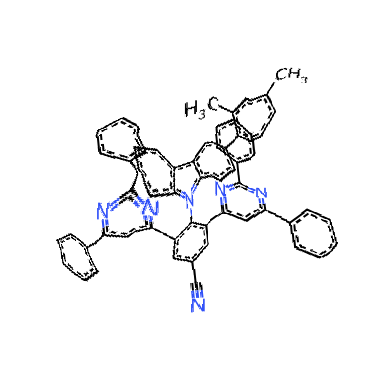 Cc1ccc(-c2ccc3c(c2)c2ccccc2n3-c2c(-c3cc(-c4ccccc4)nc(-c4ccccc4)n3)cc(C#N)cc2-c2cc(-c3ccccc3)nc(-c3ccccc3)n2)c(C)c1